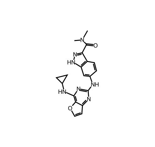 CN(C)C(=O)c1n[nH]c2cc(Nc3nc(NC4CC4)c4occc4n3)ccc12